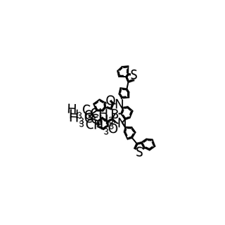 CC(C)(C)c1ccc2oc3c(c2c1)B1c2c(cccc2N(c2ccc(-c4csc5ccccc45)cc2)c2oc4ccc(C(C)(C)C)cc4c21)N3c1ccc(-c2csc3ccccc23)cc1